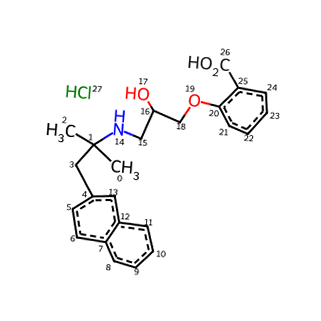 CC(C)(Cc1ccc2ccccc2c1)NCC(O)COc1ccccc1C(=O)O.Cl